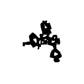 Cc1ccc(-c2cc([C@H](C)[C@](O)(Cn3cnnn3)c3ccc(F)cc3F)on2)cc1